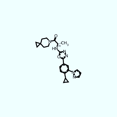 C[C@H](Nc1nnc(-c2ccc(C3CC3)c(-n3cccn3)c2)o1)C(=O)N1CCC2(CC1)CC2